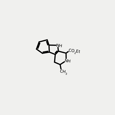 CCOC(=O)C1NC(C)Cc2c1[nH]c1ccccc21